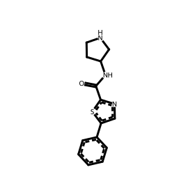 O=C(NC1CCNC1)c1ncc(-c2ccccc2)s1